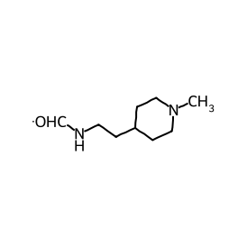 CN1CCC(CCN[C]=O)CC1